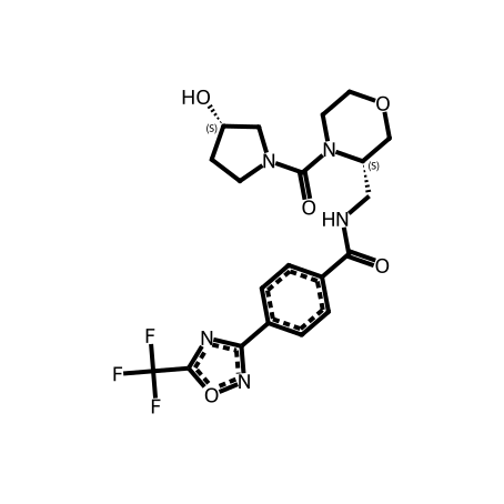 O=C(NC[C@H]1COCCN1C(=O)N1CC[C@H](O)C1)c1ccc(-c2noc(C(F)(F)F)n2)cc1